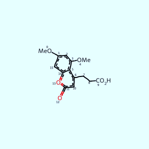 COc1cc(OC)c2c(CCC(=O)O)cc(=O)oc2c1